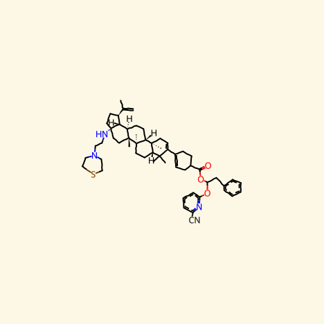 C=C(C)[C@@H]1CC[C@]2(NCCN3CCSCC3)CC[C@]3(C)[C@H](CC[C@@H]4[C@@]5(C)CC=C(C6=CCC(C(=O)OC(Cc7ccccc7)Oc7cccc(C#N)n7)CC6)C(C)(C)[C@@H]5CC[C@]43C)[C@@H]12